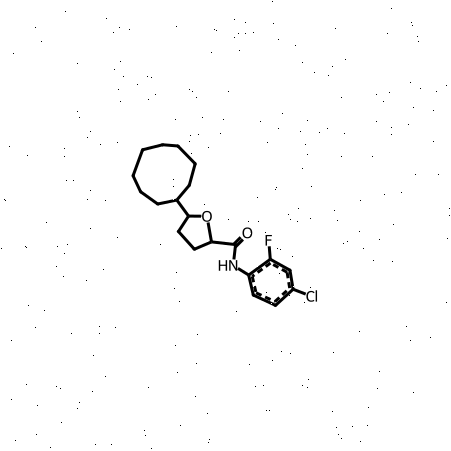 O=C(Nc1ccc(Cl)cc1F)C1CCC(C2CCCCCCCC2)O1